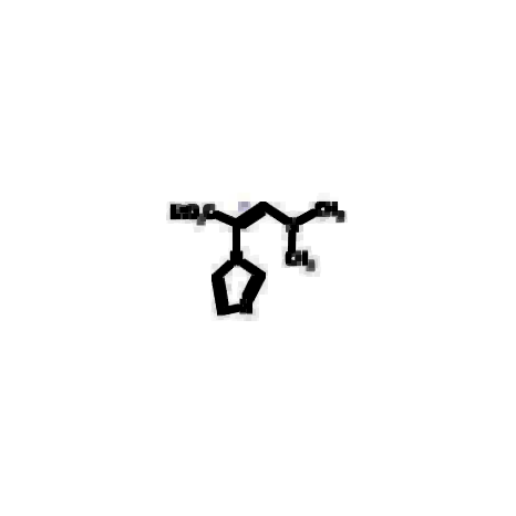 CCOC(=O)/C(=C/N(C)C)n1ccnc1